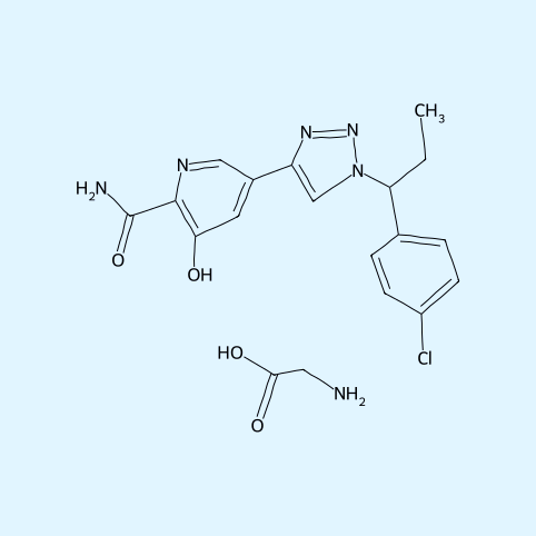 CCC(c1ccc(Cl)cc1)n1cc(-c2cnc(C(N)=O)c(O)c2)nn1.NCC(=O)O